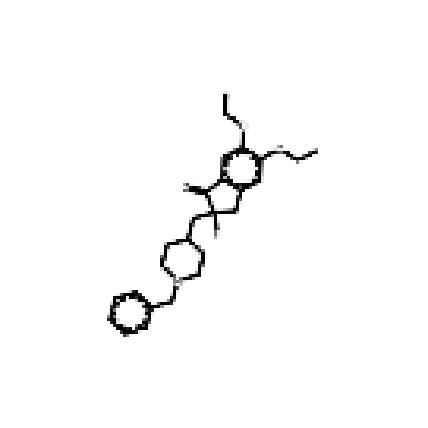 CCOc1cc2c(cc1OCC)C(=O)C(F)(CC1CCN(Cc3ccccc3)CC1)C2